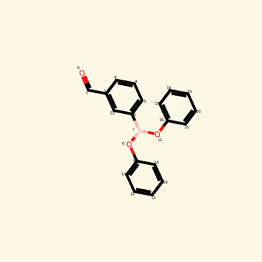 O=Cc1cccc(B(Oc2ccccc2)Oc2ccccc2)c1